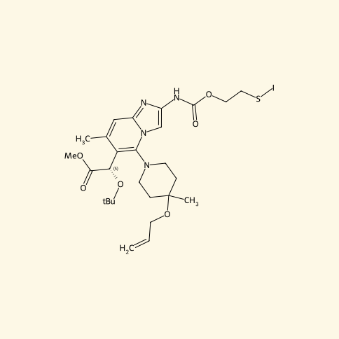 C=CCOC1(C)CCN(c2c([C@H](OC(C)(C)C)C(=O)OC)c(C)cc3nc(NC(=O)OCCSI)cn23)CC1